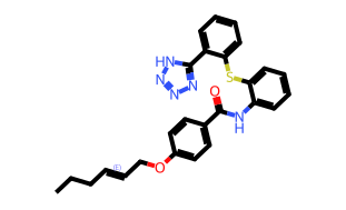 CCC/C=C/COc1ccc(C(=O)Nc2ccccc2Sc2ccccc2-c2nnn[nH]2)cc1